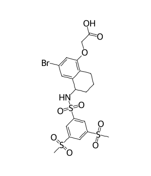 CS(=O)(=O)c1cc(S(C)(=O)=O)cc(S(=O)(=O)NC2CCCc3c(OCC(=O)O)cc(Br)cc32)c1